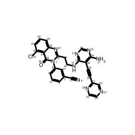 N#Cc1cccc(-n2c(CCNc3ncnc(N)c3C#Cc3cnccn3)nc3cccc(Cl)c3c2=O)c1